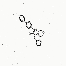 O=C(Nc1ccc(-c2ccncc2)cc1)[C@H](Cc1ccccc1)N1CCOCC1